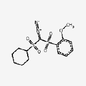 COc1ccccc1S(=O)(=O)C(=[N+]=[N-])S(=O)(=O)C1CCCCC1